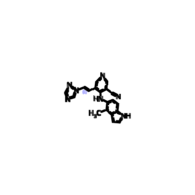 Cc1c(Nc2c(C#N)cncc2/C=C/n2cncn2)ccc2[nH]ccc12